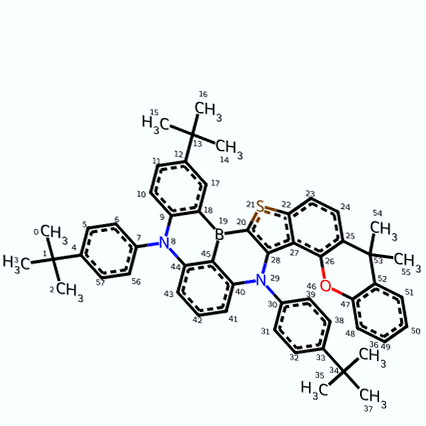 CC(C)(C)c1ccc(N2c3ccc(C(C)(C)C)cc3B3c4sc5ccc6c(c5c4N(c4ccc(C(C)(C)C)cc4)c4cccc2c43)Oc2ccccc2C6(C)C)cc1